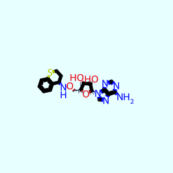 Nc1ncnc2c1ncn2[C@@H]1O[C@H](CONC2CCSc3ccccc32)[C@@H](O)[C@H]1O